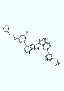 CN(C)Cc1cncc(-c2cnc3[nH]nc(-c4cc5c(-c6cc(F)cc(OCCN7CCCC7)c6)ccnc5[nH]4)c3c2)c1